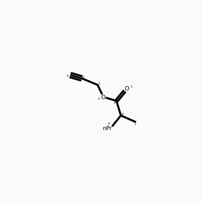 C#CCOC(=O)C(C)CCC